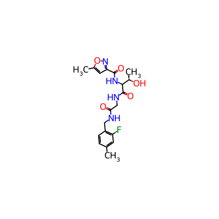 Cc1ccc(CNC(=O)CNC(=O)C(NC(=O)c2cc(C)on2)[C@@H](C)O)c(F)c1